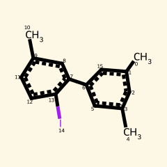 Cc1cc(C)cc(-c2cc(C)ccc2I)c1